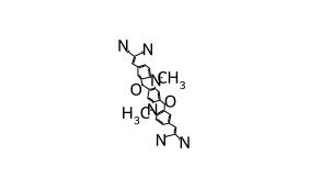 Cn1c2ccc(C=C(C#N)C#N)cc2c(=O)c2cc3c(cc21)c(=O)c1cc(C=C(C#N)C#N)ccc1n3C